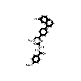 COCC(NC(=O)NNC(=O)c1ccc(OC)cc1)C1CCC(c2ccnc3ccc(F)cc23)CC1